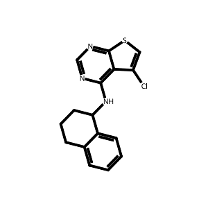 Clc1csc2ncnc(NC3CCCc4ccccc43)c12